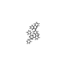 c1ccc(-c2nc(-c3ccccc3)nc(-c3cccc4oc5cc(-c6cc7ccccc7c7ccccc67)ccc5c34)n2)cc1